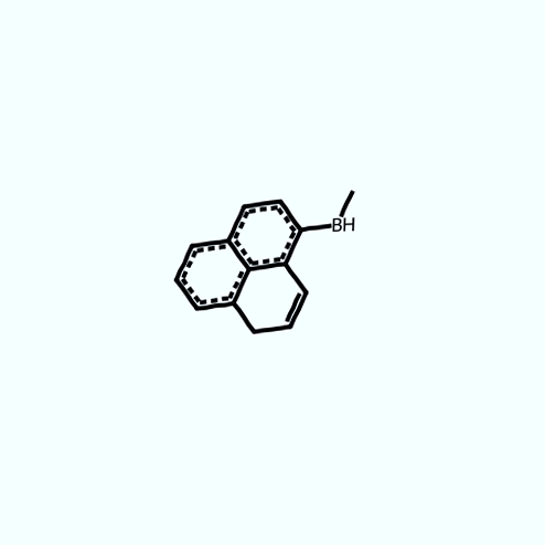 CBc1ccc2cccc3c2c1C=CC3